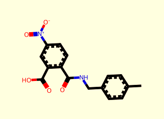 Cc1ccc(CNC(=O)c2ccc([N+](=O)[O-])cc2C(=O)O)cc1